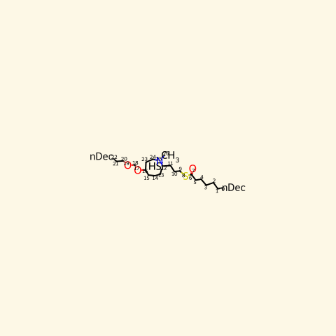 CCCCCCCCCCCCCCCC(=O)SCCC[SiH]1CCCC(OCOCCCCCCCCCCCC)CCN1C